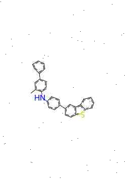 Cc1cc(-c2ccccc2)ccc1Nc1ccc(-c2ccc3sc4ccccc4c3c2)cc1